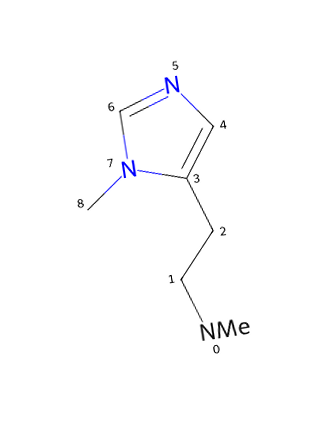 CNCCc1cncn1C